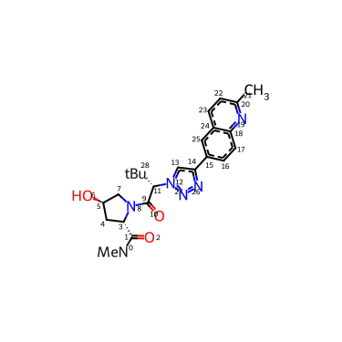 CNC(=O)[C@@H]1C[C@@H](O)CN1C(=O)[C@@H](n1cc(-c2ccc3nc(C)ccc3c2)nn1)C(C)(C)C